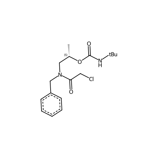 C[C@@H](CN(Cc1ccccc1)C(=O)CCl)OC(=O)NC(C)(C)C